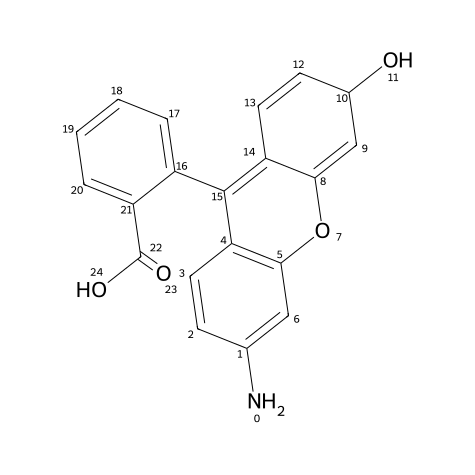 Nc1ccc2c(c1)OC1=CC(O)C=CC1=C2c1ccccc1C(=O)O